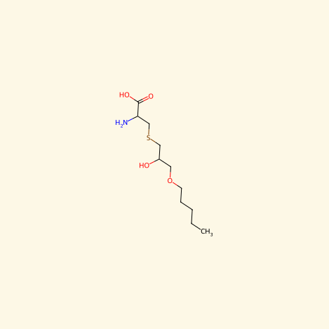 CCCCCOCC(O)CSCC(N)C(=O)O